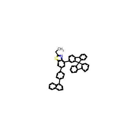 CCc1nc2c(-c3ccc4c(c3)C3(c5ccccc5-c5ccccc53)c3ccccc3-4)cc(-c3ccc(-c4cccc5ccccc45)cc3)cc2s1